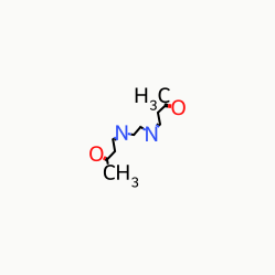 CC(=O)C/C=N\CC/N=C\CC(C)=O